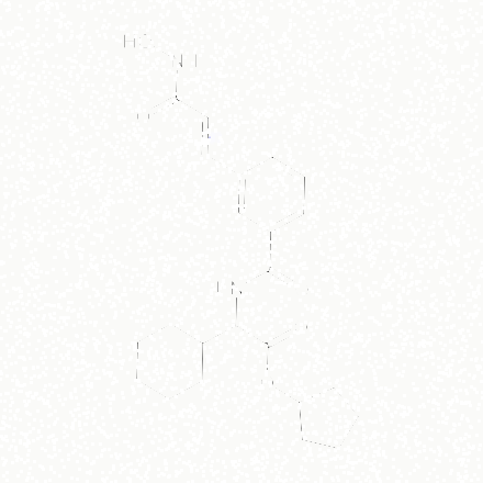 O=C(/C=C/c1cccc(C(=O)NC(C(=O)OC2CCCC2)C2CCCCC2)c1)NO